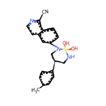 Cc1ccc([C@@H]2CNS(O)(O)N(c3ccc4c(C#N)nccc4c3)C2)cc1